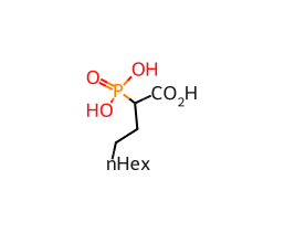 CCCCCCCCC(C(=O)O)P(=O)(O)O